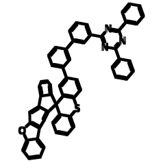 c1ccc(-c2nc(-c3ccccc3)nc(-c3cccc(-c4cccc(-c5ccc6c(c5)C5(c7ccccc7S6)c6ccccc6-c6cc7oc8ccccc8c7cc65)c4)c3)n2)cc1